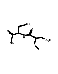 CC(C)(C)C(=O)C(CN)NC(=O)C(CC(=O)O)SI